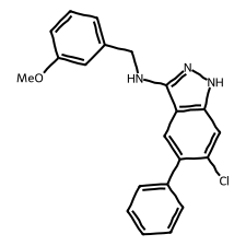 COc1cccc(CNc2n[nH]c3cc(Cl)c(-c4ccccc4)cc23)c1